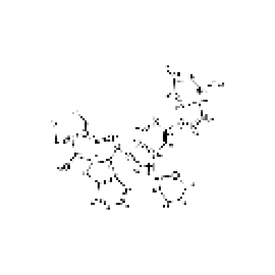 CCOC(=O)C(Cc1ccccc1)(OCc1nn(C2CCCCO2)c2cc(-n3nnc4c(F)cc(C)cc43)ccc12)C(=O)OCC